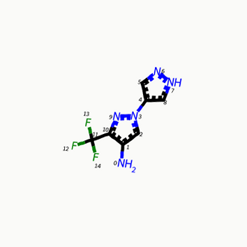 Nc1cn(-c2cn[nH]c2)nc1C(F)(F)F